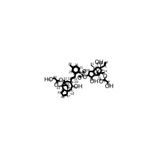 C=C[C@]1(C)C[C@@H](OC(=O)CO)[C@]2(C)C(C)CC[C@]3(CC(OS(=O)(=O)c4ccc(C)cc4/C=C/[C@]4(C)C[C@@H](OC(=O)CO)[C@@]5(C)C6=CC=C[C@@]6(CCC5C)[C@@H](C)[C@@H]4O)C(O)C32)[C@@H](C)[C@@H]1O